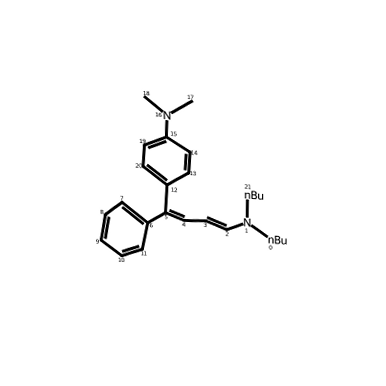 CCCCN(C=CC=C(c1ccccc1)c1ccc(N(C)C)cc1)CCCC